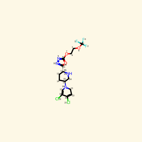 FC(F)(F)OCCOc1nnc([C@H]2CC[C@H](N3C=C(Cl)C(Cl)=CC3)CN2)o1